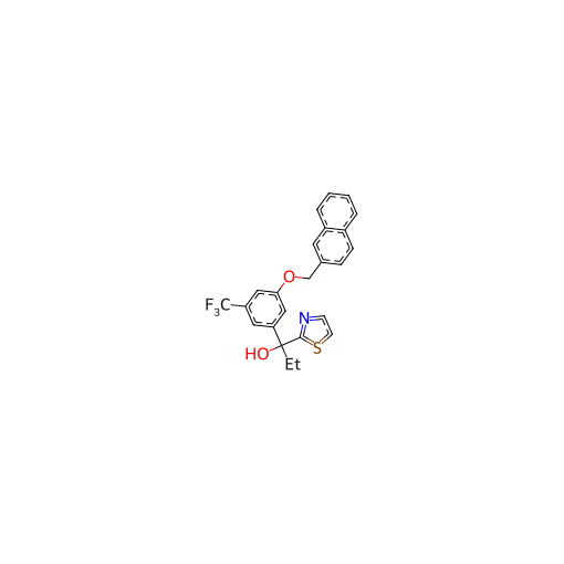 CCC(O)(c1cc(OCc2ccc3ccccc3c2)cc(C(F)(F)F)c1)c1nccs1